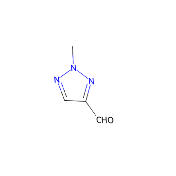 Cn1ncc(C=O)n1